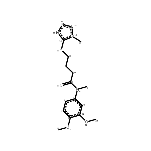 COc1ccc(N(C)C(=O)CCCSc2nnnn2C)cc1OC